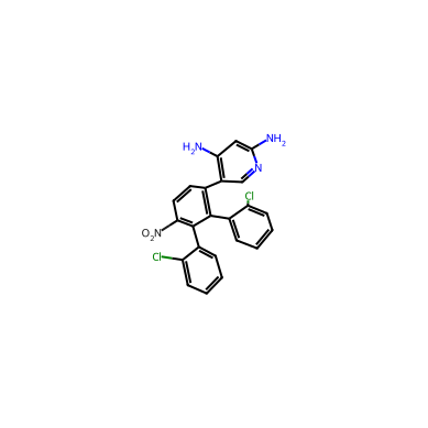 Nc1cc(N)c(-c2ccc([N+](=O)[O-])c(-c3ccccc3Cl)c2-c2ccccc2Cl)cn1